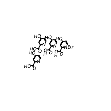 O=C(O)c1cc(O)ccn1.O=C(O)c1cc(O)ccn1.O=C(O)c1cc(O)ccn1.O=C(O)c1cc(O)ccn1.[Eu]